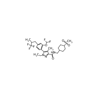 CCn1nc(C(=O)NCC2CCC(S(C)(=O)=O)CC2)c(C)c1-c1ccc(CC(C)C(F)(F)F)cc1OC(F)F